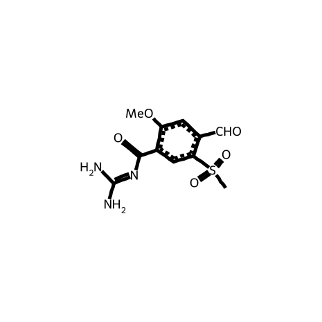 COc1cc(C=O)c(S(C)(=O)=O)cc1C(=O)N=C(N)N